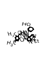 CCn1ncc2c(N[C@@H]3CCC[C@@H](O)C3)c(C(=O)N[C@@H](C)c3ccc(C)cc3C)cnc21